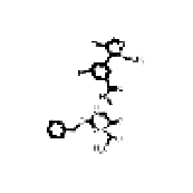 CCn1ncc(Cl)c1-c1cc(F)cc(C(=O)NC[C@@H](NC(=O)OCc2ccccc2)C(=O)OC(C)C)c1